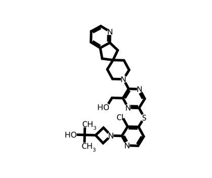 CC(C)(O)C1CN(c2nccc(Sc3cnc(N4CCC5(CC4)Cc4cccnc4C5)c(CO)n3)c2Cl)C1